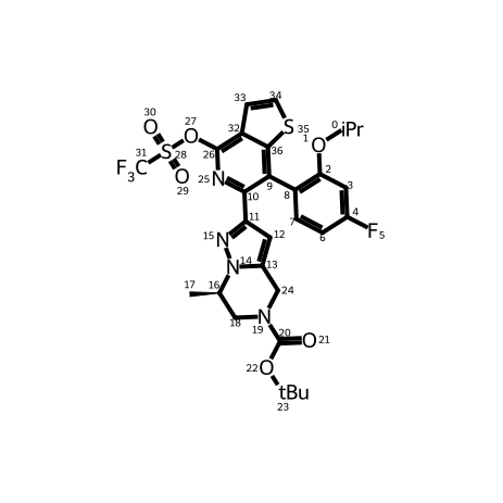 CC(C)Oc1cc(F)ccc1-c1c(-c2cc3n(n2)[C@H](C)CN(C(=O)OC(C)(C)C)C3)nc(OS(=O)(=O)C(F)(F)F)c2ccsc12